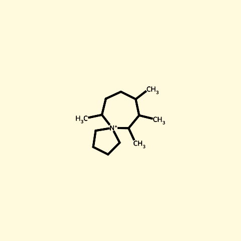 CC1CCC(C)[N+]2(CCCC2)C(C)C1C